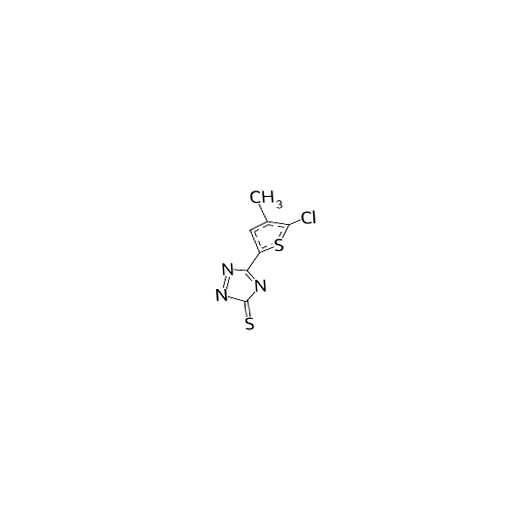 Cc1cc(C2=NC(=S)N=N2)sc1Cl